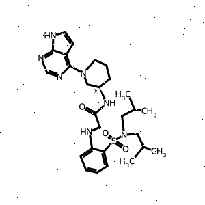 CC(C)CN(CC(C)C)S(=O)(=O)c1ccccc1NCC(=O)N[C@@H]1CCCN(c2ncnc3[nH]ccc23)C1